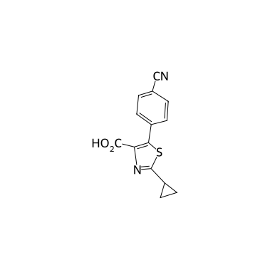 N#Cc1ccc(-c2sc(C3CC3)nc2C(=O)O)cc1